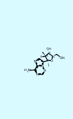 C[C@@]1(F)[C@H](O)[C@@H](CO)O[C@@]1(I)c1cnc2c(N)ncnn12